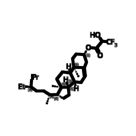 CC[C@H](CC[C@@H](C)[C@H]1CC[C@H]2[C@@H]3CC=C4C[C@@H](OC(=O)C(O)C(F)(F)F)CC[C@]4(C)[C@H]3CC[C@]12C)C(C)C